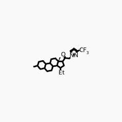 CCC1CC(C(=O)Cn2ccc(C(F)(F)F)n2)[C@@]2(C)CCC3C4CCC(C)CC4CCC3C12